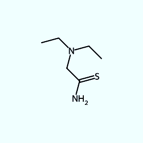 CCN(CC)CC(N)=S